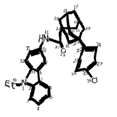 CCn1c2ccccc2c2cc(NC(=O)C34CC5CC(C3)CC(c3ccc(Cl)cc3)(C5)C4)ccc21